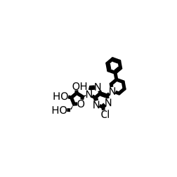 OC[C@H]1O[C@@H](n2cnc3c(N4CCCC(c5ccccc5)C4)nc(Cl)nc32)C(O)C1O